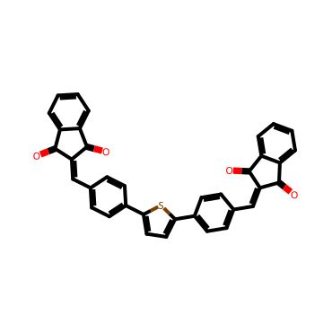 O=C1C(=Cc2ccc(-c3ccc(-c4ccc(C=C5C(=O)c6ccccc6C5=O)cc4)s3)cc2)C(=O)c2ccccc21